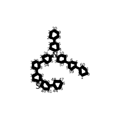 c1ccc(-c2ccc(-c3ccc(N(c4ccc(-c5ccccc5)cc4)c4ccc(-c5cccc(-c6ccc7sc8ccc(-c9ccccc9)cc8c7c6)c5)cc4)cc3)cc2)cc1